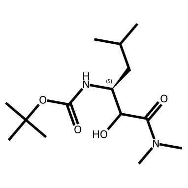 CC(C)C[C@H](NC(=O)OC(C)(C)C)C(O)C(=O)N(C)C